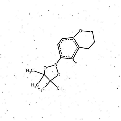 CC1(C)OB(c2ccc3c(c2F)CCCO3)OC1(C)C